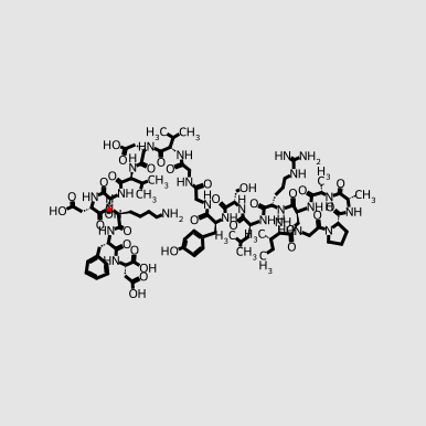 CC[C@H](C)[C@H](N)C(=O)NCC(=O)N1CCC[C@H]1C(=O)N[C@@H](C)C(=O)N[C@@H](C)C(=O)N[C@@H](CO)C(=O)N[C@@H](CCCNC(=N)N)C(=O)N[C@@H](CC(C)C)C(=O)N[C@@H](CO)C(=O)N[C@@H](Cc1ccc(O)cc1)C(=O)NCC(=O)NCC(=O)N[C@H](C(=O)N[C@@H](CC(=O)O)C(=O)N[C@H](C(=O)N[C@@H](CO)C(=O)N[C@@H](CC(=O)O)C(=O)N[C@@H](CCCCN)C(=O)N[C@@H](Cc1ccccc1)C(=O)N[C@@H](CC(=O)O)C(=O)O)C(C)C)C(C)C